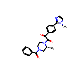 C[C@@H]1CN(C(=O)c2ccccc2)CCN1C(=O)C(=O)c1ccc(-c2nccn2C)cc1